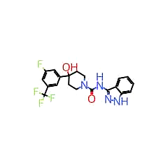 O=C(Nc1n[nH]c2ccccc12)N1CCC(O)(c2cc(F)cc(C(F)(F)F)c2)CC1